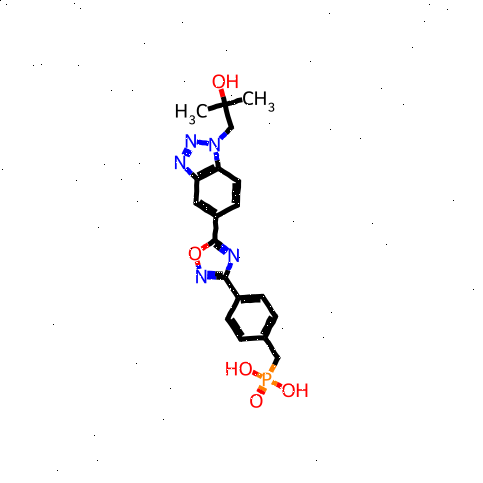 CC(C)(O)Cn1nnc2cc(-c3nc(-c4ccc(CP(=O)(O)O)cc4)no3)ccc21